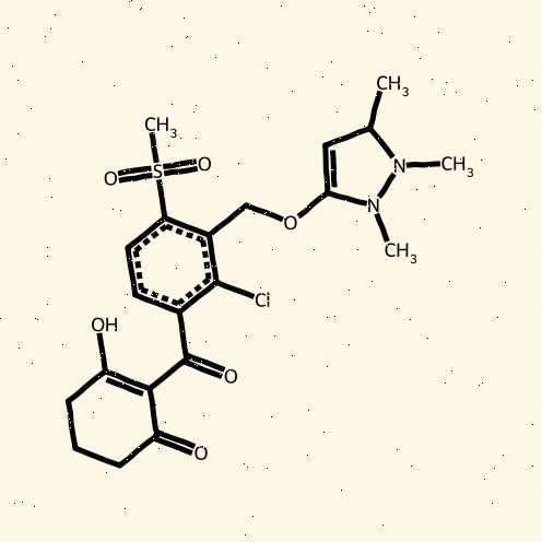 CC1C=C(OCc2c(S(C)(=O)=O)ccc(C(=O)C3=C(O)CCCC3=O)c2Cl)N(C)N1C